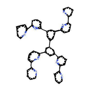 c1ccc(-c2cccc(-c3cc(-c4cc(-c5cccc(-c6ccccn6)n5)cc(-c5cccc(-c6ccccn6)n5)c4)cc(-c4cccc(-c5ccccn5)n4)c3)n2)nc1